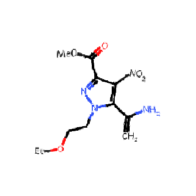 C=C(N)c1c([N+](=O)[O-])c(C(=O)OC)nn1CCOCC